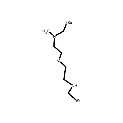 CC(C)CNCCOCCN(C)CC(C)(C)C